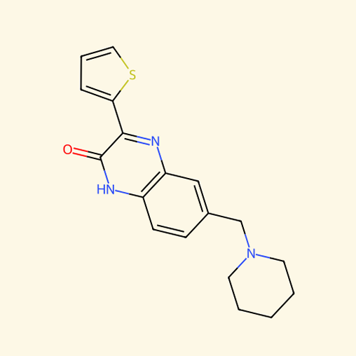 O=c1[nH]c2ccc(CN3CCCCC3)cc2nc1-c1cccs1